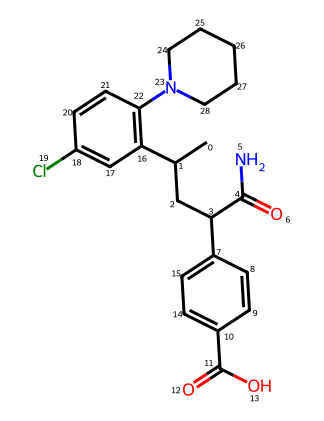 CC(CC(C(N)=O)c1ccc(C(=O)O)cc1)c1cc(Cl)ccc1N1CCCCC1